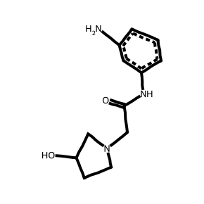 Nc1cccc(NC(=O)CN2CCC(O)C2)c1